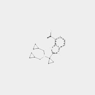 NC(=O)c1cccc2[nH]c(C3(N(CC4CC4)CC4CC4)CC3)nc12